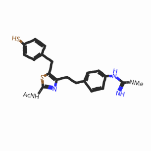 CNC(=N)Nc1ccc(CCc2nc(NC(C)=O)sc2Cc2ccc(S)cc2)cc1